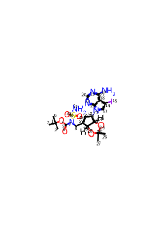 CC(C)(C)OC(=O)N(CC1=C[C@@H](n2cc(I)c3c(N)ncnc32)[C@@H]2OC(C)(C)O[C@H]12)S(N)(=O)=O